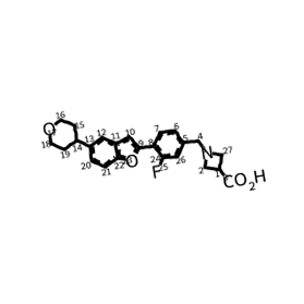 O=C(O)C1CN(Cc2ccc(-c3cc4cc(C5CCOCC5)ccc4o3)c(F)c2)C1